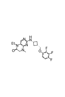 CCN1C(=O)CN(C)c2nc(N[C@H]3C[C@@H](COc4ccc(F)c(F)c4F)C3)ncc21